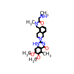 CNCC(=O)N(C)Cc1cccc2c1CCN(c1nc(=O)c3c(C)c(OC)c(OC)cc3[nH]1)C2